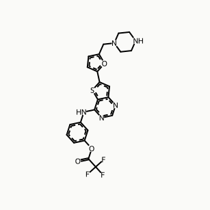 O=C(Oc1cccc(Nc2ncnc3cc(-c4ccc(CN5CCNCC5)o4)sc23)c1)C(F)(F)F